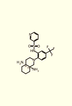 N[C@@]12CCCC[C@@]1(N)CN(c1ccc(C(F)(F)F)cc1NS(=O)(=O)c1cccnc1)CC2